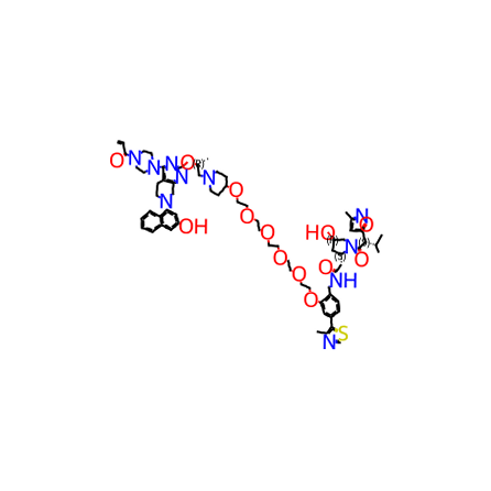 C=CC(=O)N1CCN(c2nc(O[C@H](C)CN3CCC(OCCOCCOCCOCCOCCOc4cc(-c5scnc5C)ccc4CNC(=O)C[C@@H]4C[C@@H](O)CN4C(=O)[C@H](c4cc(C)no4)C(C)C)CC3)nc3c2CCN(c2cc(O)cc4ccccc24)C3)CC1